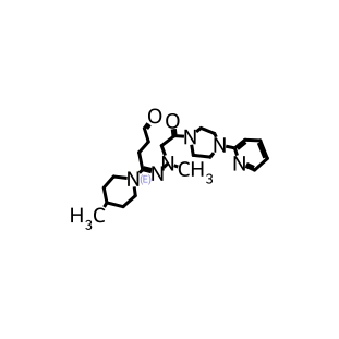 CC1CCN(/C(CCC=O)=N/N(C)CC(=O)N2CCN(c3ccccn3)CC2)CC1